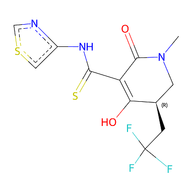 CN1C[C@@H](CC(F)(F)F)C(O)=C(C(=S)Nc2cscn2)C1=O